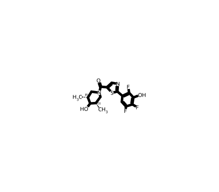 C[C@@H]1CN(C(=O)c2cnc(-c3cc(F)c(F)c(O)c3F)s2)C[C@H](C)C1O